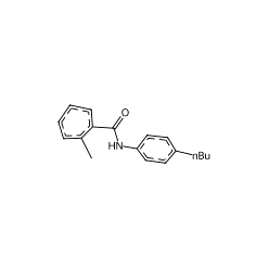 CCCCc1ccc(NC(=O)c2ccccc2C)cc1